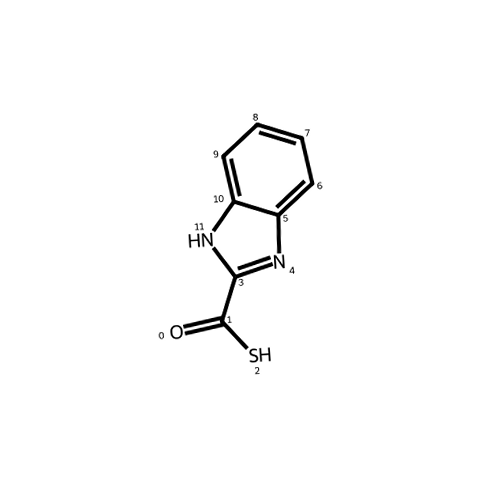 O=C(S)c1nc2ccccc2[nH]1